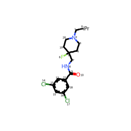 CC(C)CN1CCC(F)(CNC(=O)c2cc(Cl)cc(Cl)c2)CC1